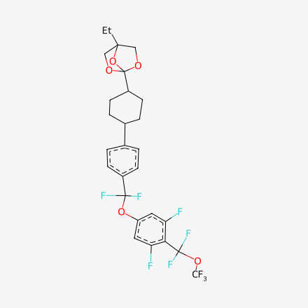 CCC12COC(C3CCC(c4ccc(C(F)(F)Oc5cc(F)c(C(F)(F)OC(F)(F)F)c(F)c5)cc4)CC3)(OC1)O2